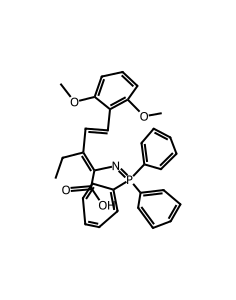 CCC(C=Cc1c(OC)cccc1OC)=C(N=P(c1ccccc1)(c1ccccc1)c1ccccc1)C(=O)O